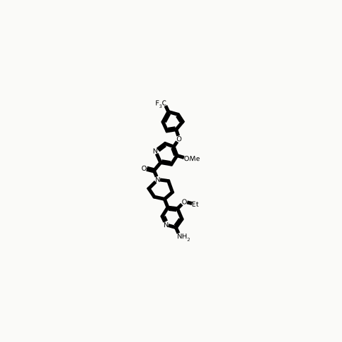 CCOc1cc(N)ncc1C1CCN(C(=O)c2cc(OC)c(Oc3ccc(C(F)(F)F)cc3)cn2)CC1